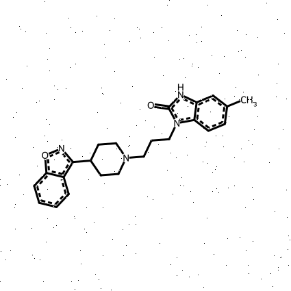 Cc1ccc2c(c1)[nH]c(=O)n2CCCN1CCC(c2noc3ccccc23)CC1